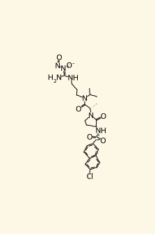 CC(C)N(CCCN/C(N)=[N+](\[O-])N=O)C(=O)[C@H](C)N1CC[C@H](NS(=O)(=O)c2ccc3cc(Cl)ccc3c2)C1=O